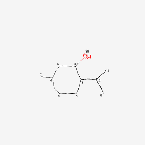 C[C](C)C1CCC(C)CC1O